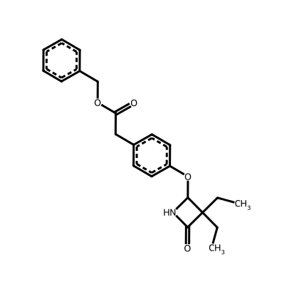 CCC1(CC)C(=O)NC1Oc1ccc(CC(=O)OCc2ccccc2)cc1